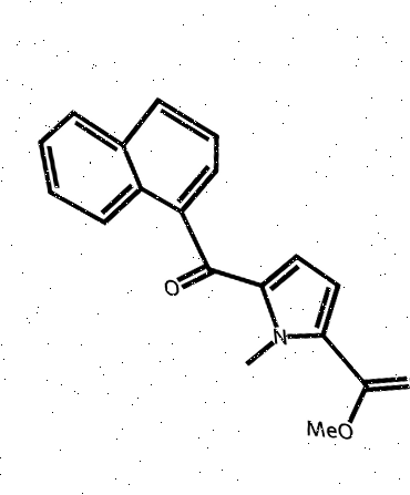 COC(=O)c1ccc(C(=O)c2cccc3ccccc23)n1C